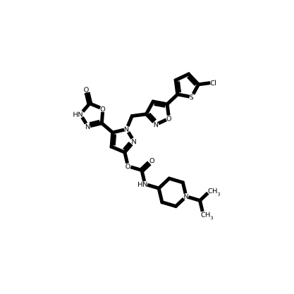 CC(C)N1CCC(NC(=O)Oc2cc(-c3n[nH]c(=O)o3)n(Cc3cc(-c4ccc(Cl)s4)on3)n2)CC1